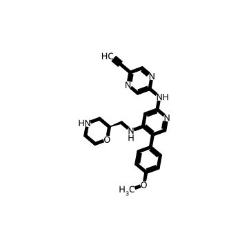 C#Cc1cnc(Nc2cc(NC[C@@H]3CNCCO3)c(-c3ccc(OC)cc3)cn2)cn1